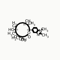 Cc1nc2cc([C@@H]3C[C@H](C)[C@@H](C)CCC[C@H](C)[C@H](O)[C@@H](C)C(=O)C(C)(C)[C@@H](O)CC(=O)O3)ccc2n1C